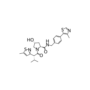 Cc1cc([C@H](C(=O)N2C[C@H](O)C[C@H]2C(=O)NCc2ccc(-c3scnc3C)cc2)C(C)C)ns1